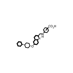 O=C(O)C12CCC(NCc3ccc4cc(O[C@H]5CC[C@H](c6ccccc6)CC5)ccc4n3)(CC1)CC2